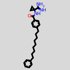 N=C(N)C1(NC(=O)c2ccc(CCCCCCCCCc3ccccc3)cc2)CC1